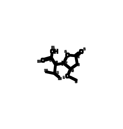 COC1CC(=O)ON1C(C(=O)O)C(C)C